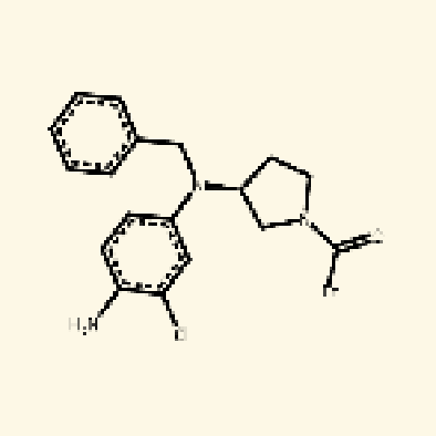 CCC(=O)N1CC[C@H](N(Cc2ccccc2)c2ccc(N)c(Cl)c2)C1